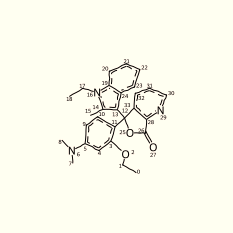 CCOc1cc(N(C)C)ccc1C1(c2c(C)n(CC)c3ccccc23)OC(=O)c2ncccc21